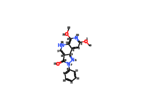 COc1cc2c3nn(-c4ccccc4)c(=O)c-3c[nH]c2c(OC)n1